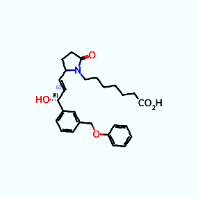 O=C(O)CCCCCCN1C(=O)CCC1/C=C/[C@@H](O)c1cccc(COc2ccccc2)c1